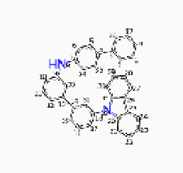 c1ccc(-c2ccc(Nc3cccc(-c4cccc(-n5c6ccccc6c6ccccc65)c4)c3)cc2)cc1